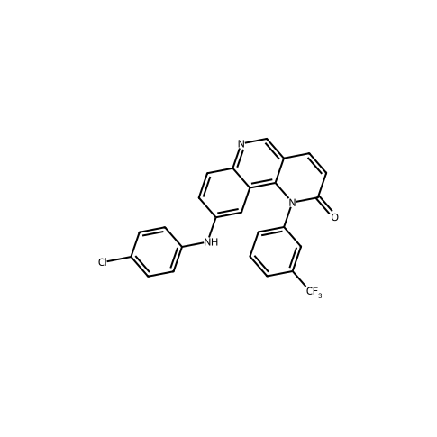 O=c1ccc2cnc3ccc(Nc4ccc(Cl)cc4)cc3c2n1-c1cccc(C(F)(F)F)c1